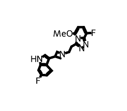 COc1ccc(F)c2nnc(CCN3CC(c4c[nH]c5cc(F)ccc45)C3)n12